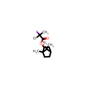 CCC(C)(I)C(=O)OC1CC2CCC1(C)C2(C)C